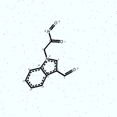 O=Cc1cn(CC(=O)N=O)c2ccccc12